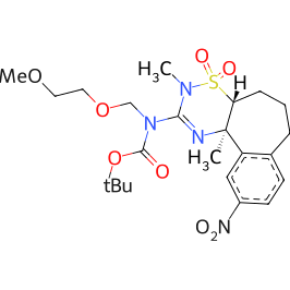 COCCOCN(C(=O)OC(C)(C)C)C1=N[C@]2(C)c3cc([N+](=O)[O-])ccc3CCC[C@H]2S(=O)(=O)N1C